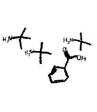 CC(C)(C)N.CC(C)(C)N.CC(C)(C)N.O=C(O)c1ccccc1